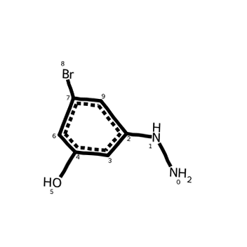 NNc1cc(O)cc(Br)c1